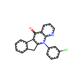 O=c1c2c(n(-c3cccc(Cl)c3)c3ncccc13)Cc1ccccc1-2